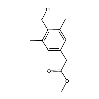 COC(=O)Cc1cc(C)c(CCl)c(C)c1